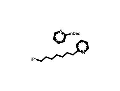 CC(C)CCCCCCCc1ccccn1.CCCCCCCCCCc1ccccn1